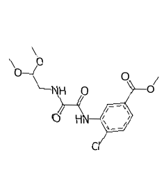 COC(=O)c1ccc(Cl)c(NC(=O)C(=O)NCC(OC)OC)c1